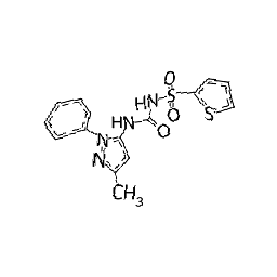 Cc1cc(NC(=O)NS(=O)(=O)c2cccs2)n(-c2ccccc2)n1